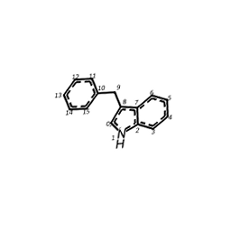 [c]1[nH]c2ccccc2c1Cc1ccccc1